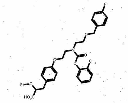 CCOC(Cc1ccc(OCCN(CCOCc2ccc(F)cc2)C(=O)Oc2ccccc2C)cc1)C(=O)O